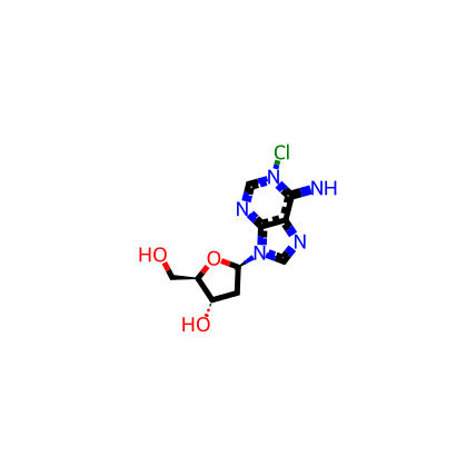 N=c1c2ncn([C@H]3C[C@H](O)[C@@H](CO)O3)c2ncn1Cl